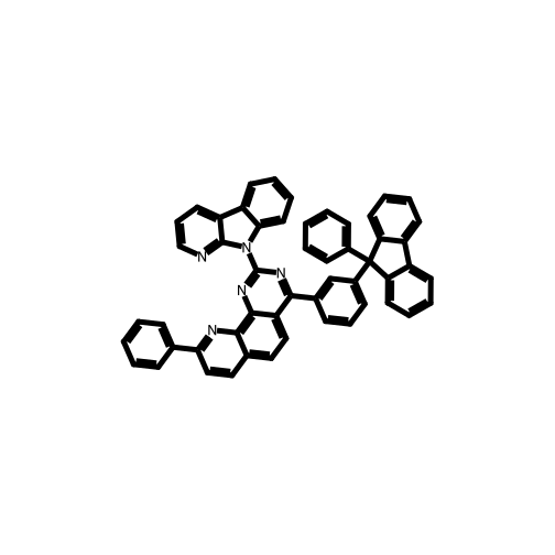 c1ccc(-c2ccc3ccc4c(-c5cccc(C6(c7ccccc7)c7ccccc7-c7ccccc76)c5)nc(-n5c6ccccc6c6cccnc65)nc4c3n2)cc1